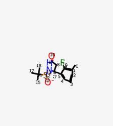 Cc1cccc([C@](C)(CC=O)N[S@+]([O-])C(C)(C)C)c1F